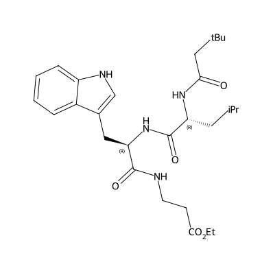 CCOC(=O)CCNC(=O)[C@@H](Cc1c[nH]c2ccccc12)NC(=O)[C@@H](CC(C)C)NC(=O)CC(C)(C)C